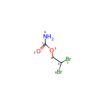 NC(=O)OCC(Br)Br